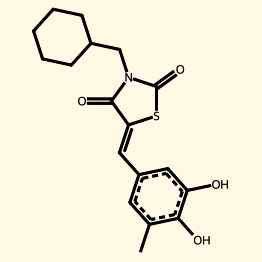 Cc1cc(/C=C2\SC(=O)N(CC3CCCCC3)C2=O)cc(O)c1O